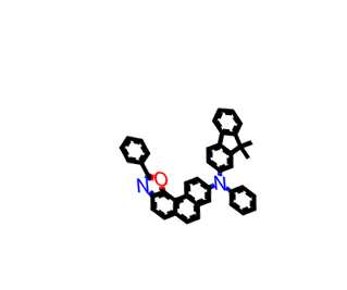 CC1(C)c2ccccc2-c2ccc(N(c3ccccc3)c3ccc4c(ccc5ccc6nc(-c7ccccc7)oc6c54)c3)cc21